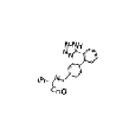 CC(C)[C@@H](C=O)/N=C/c1ccc(-c2ccccc2-c2nnn[nH]2)cc1